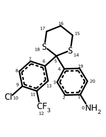 Nc1ccc(C2(c3ccc(Cl)c(C(F)(F)F)c3)SCCCS2)cc1